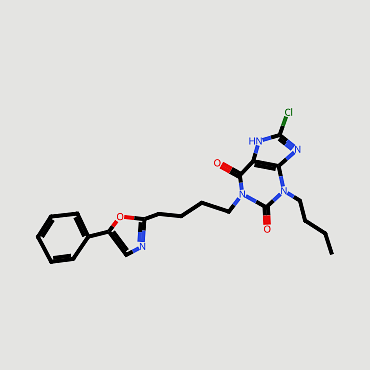 CCCCn1c(=O)n(CCCCc2ncc(-c3ccccc3)o2)c(=O)c2[nH]c(Cl)nc21